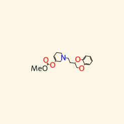 COC(=O)OC1=CCCN(CCC2COc3ccccc3O2)C1